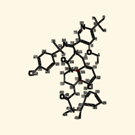 CCOc1cc(C(C)(C)C)ncc1/C(=N/C(C)(C)C1C=CC(Cl)=CC1)N(Cc1ccc(Cl)cc1)C(=O)N1CCC(CC(=O)N(C)[C@H](C)c2ccccc2)CC1